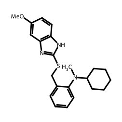 COc1ccc2[nH]c(SCc3ccccc3N(C)C3CCCCC3)nc2c1